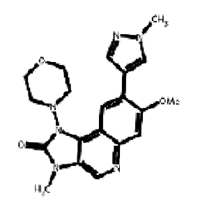 COc1cc2ncc3c(c2cc1-c1cnn(C)c1)n(N1CCOCC1)c(=O)n3C